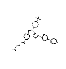 CC(C)(C)C1CCC(N(Cc2ccc(C(=O)NCCC(=O)O)cc2)c2nc(-c3ccc(-c4ccccc4)cc3)cs2)CC1